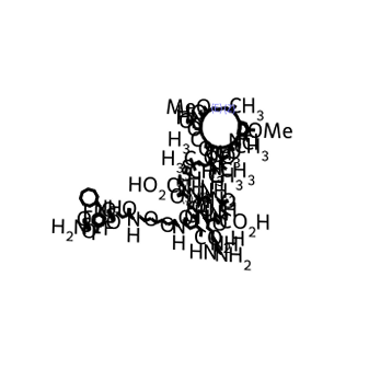 COc1cc2cc(c1Cl)N(C)C(=O)CC(OC(=O)C(C)N(C)C(=O)CCC(C)(C)SSC[C@H](NC(=O)[C@H](CC(=O)O)NC(=O)[C@@H](N)CNC(=O)C(CC(=O)O)NC(=O)C(CCCNC(=N)N)NC(=O)C(CC(=O)O)CC(=O)NCOCCOCCNC(=O)CCS(=O)(=O)c1c(F)c(F)c(S(N)(=O)=O)c(F)c1NC1CCCCCCC1)C(=O)O)C1(C)OC1C(C)C1CC(O)(NC(=O)O1)C(OC)/C=C/C=C(/C)C2